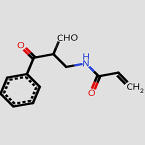 C=CC(=O)NCC(C=O)C(=O)c1ccccc1